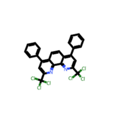 ClC(Cl)(Cl)c1cc(-c2ccccc2)c2ccc3c(-c4ccccc4)cc(C(Cl)(Cl)Cl)nc3c2n1